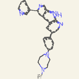 CC(C)N1CCN(c2ccc(-c3cnc4[nH]c5cnc(-c6cccnc6)cc5c4c3)cc2)CC1